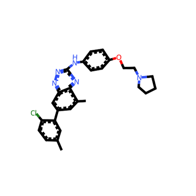 Cc1ccc(Cl)c(-c2cc(C)c3nc(Nc4ccc(OCCN5CCCC5)cc4)nnc3c2)c1